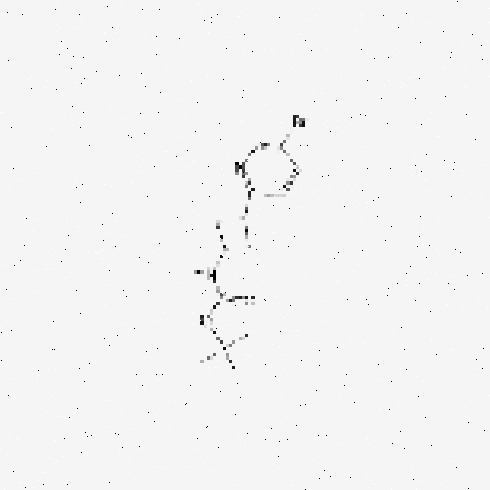 CN(C(=O)OC(C)(C)C)C1CC(c2ccc(Br)cn2)C1